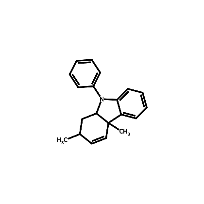 CC1C=CC2(C)c3ccccc3N(c3ccccc3)C2C1